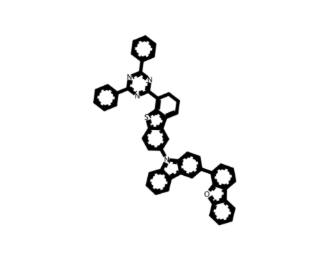 C1=c2c(sc3ccc(-n4c5ccccc5c5cc(-c6cccc7c6oc6ccccc67)ccc54)cc23)=C(c2nc(-c3ccccc3)nc(-c3ccccc3)n2)CC1